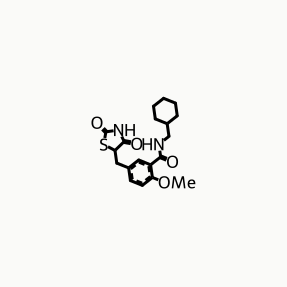 COc1ccc(CC2SC(=O)NC2=O)cc1C(=O)NCC1CCCCC1